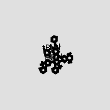 Cn1c(-c2ccccc2)nc2cc3c(cc21)-n1c2cc4c(cc2c2c5c(c(-c6cc7c(cc6Nc6ccc(C(C)(C)C)cc6)C(C)(C)c6ccccc6-7)c(c21)B3)-c1ccccc1C5(C)C)C(C)(C)CCC4(C)C